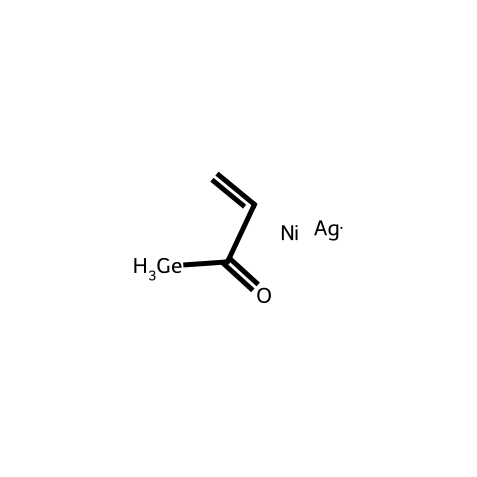 C=C[C](=O)[GeH3].[Ag].[Ni]